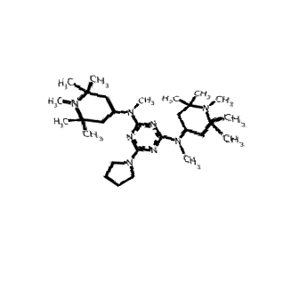 CN(c1nc(N2CCCC2)nc(N(C)C2CC(C)(C)N(C)C(C)(C)C2)n1)C1CC(C)(C)N(C)C(C)(C)C1